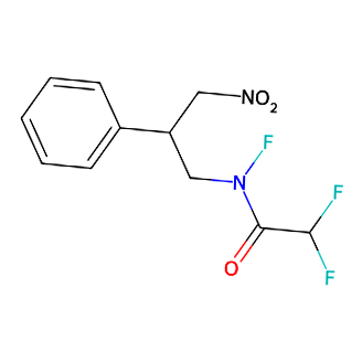 O=C(C(F)F)N(F)CC(C[N+](=O)[O-])c1ccccc1